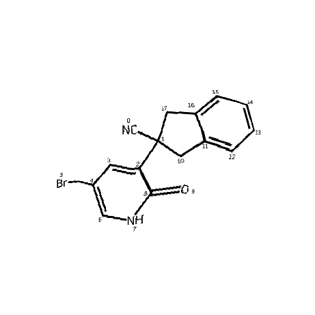 N#CC1(c2cc(Br)c[nH]c2=O)Cc2ccccc2C1